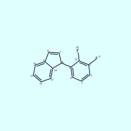 Fc1cccc([C]2C=Cc3ccccc32)c1F